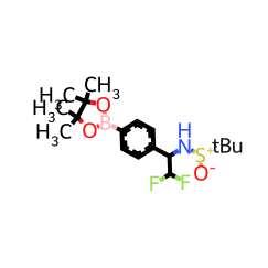 CC(C)(C)[S@@+]([O-])NC(c1ccc(B2OC(C)(C)C(C)(C)O2)cc1)C(F)F